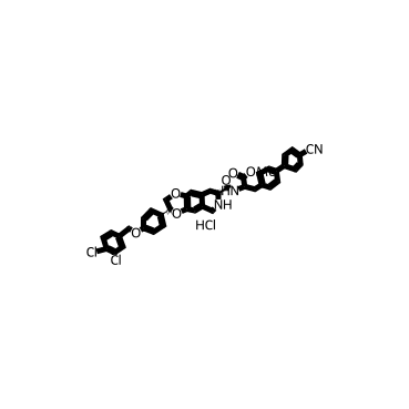 COC(=O)C(Cc1ccc(-c2ccc(C#N)cc2)cc1)NC(=O)[C@@H]1Cc2cc3c(cc2CN1)O[C@H](c1ccc(OCc2ccc(Cl)c(Cl)c2)cc1)CO3.Cl